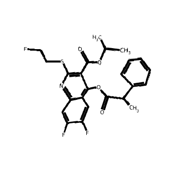 CC(C)OC(=O)c1c(SCCF)nc2cc(F)c(F)cc2c1OC(=O)C(C)c1ccccc1